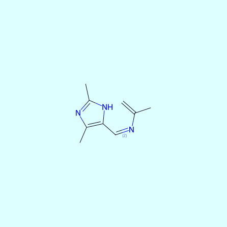 C=C(C)/N=C\c1[nH]c(C)nc1C